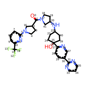 O=C(C1CCN(c2cccc(C(F)(F)F)n2)C1)N1CCC(NC2CCC(O)(c3ccc(-c4ncccn4)cn3)CC2)C1